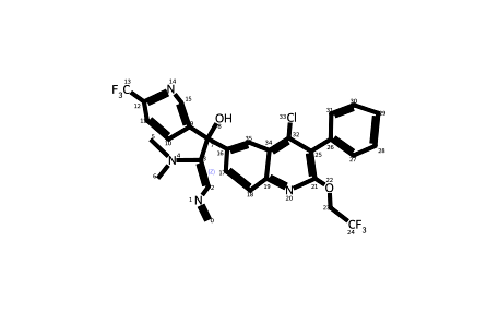 C=N/C=C(\N(C)C)C(O)(c1ccc(C(F)(F)F)nc1)c1ccc2nc(OCC(F)(F)F)c(-c3ccccc3)c(Cl)c2c1